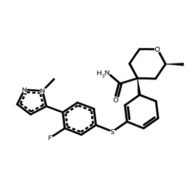 C[C@H]1C[C@@](C(N)=O)(C2C=C(Sc3ccc(-c4ccnn4C)c(F)c3)C=CC2)CCO1